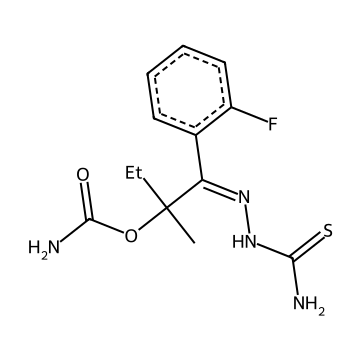 CCC(C)(OC(N)=O)C(=NNC(N)=S)c1ccccc1F